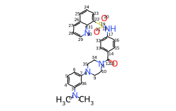 CN(C)c1cccc(N2CCN(C(=O)c3ccc(NS(=O)(=O)c4cccc5cccnc45)cc3)CC2)c1